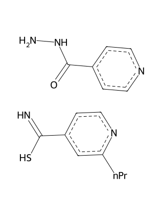 CCCc1cc(C(=N)S)ccn1.NNC(=O)c1ccncc1